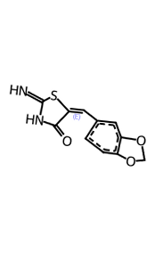 N=C1NC(=O)/C(=C\c2ccc3c(c2)OCO3)S1